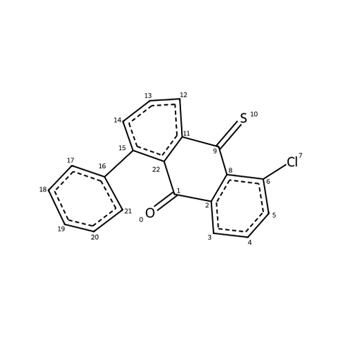 O=C1c2cccc(Cl)c2C(=S)c2cccc(-c3ccccc3)c21